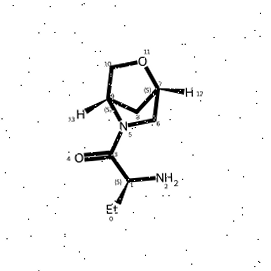 CC[C@H](N)C(=O)N1C[C@@H]2C[C@H]1CO2